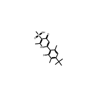 Cc1cc(C(C)(C)C)c(C)c(F)c1-c1cc(=O)c(S(C)(=N)=O)c(C)[nH]1